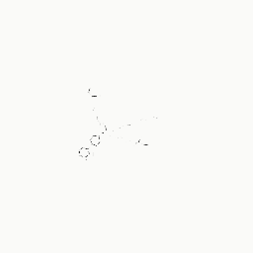 C=CC(=O)OCCCCCCC(CCCCCCOC(=O)C=C)(C(=O)OCCCCCCCCCCC=O)c1ccc(-c2cccc(F)c2F)cc1